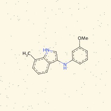 COc1cccc(Nc2c[nH]c3c(C)cccc23)c1